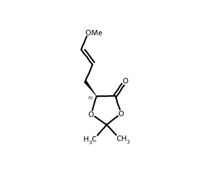 COC=CC[C@@H]1OC(C)(C)OC1=O